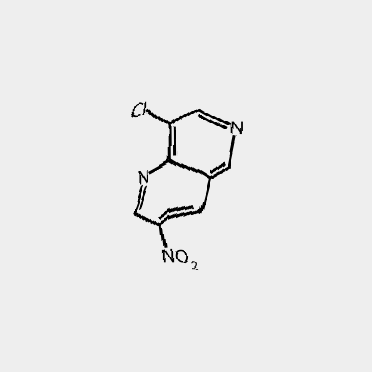 O=[N+]([O-])c1cnc2c(Cl)cncc2c1